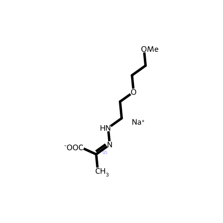 COCCOCCN/N=C(/C)C(=O)[O-].[Na+]